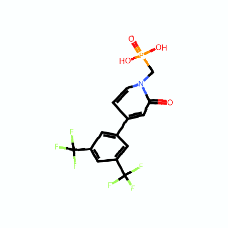 O=c1cc(-c2cc(C(F)(F)F)cc(C(F)(F)F)c2)ccn1CP(=O)(O)O